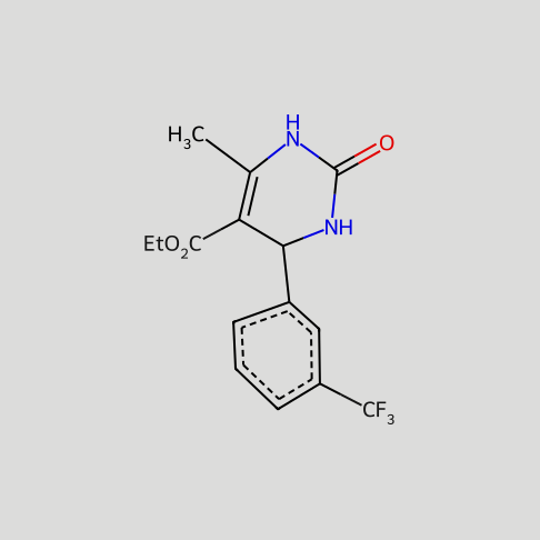 CCOC(=O)C1=C(C)NC(=O)NC1c1cccc(C(F)(F)F)c1